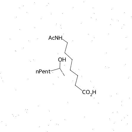 CC(=O)NCCCCCCC(=O)O.CCCCCC(C)O